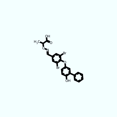 CC(O/N=C/c1cc(Br)c(Oc2ccc(O)c(-c3ccccc3)c2)c(Br)c1)C(=O)O